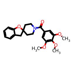 COc1cc(C(=O)N2CCC3(CC2)Cc2ccccc2O3)cc(OC)c1OC